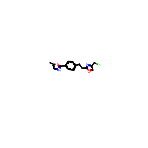 Cc1cnc(-c2ccc(CCc3nc(CCl)co3)cc2)o1